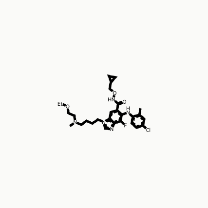 CCOCCN(C)CCCCn1cnc2c(F)c(Nc3ccc(Cl)cc3C)c(C(=O)NOCC3CC3)cc21